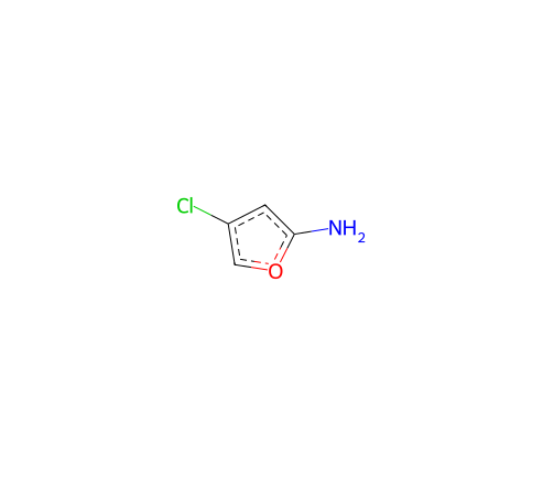 Nc1cc(Cl)co1